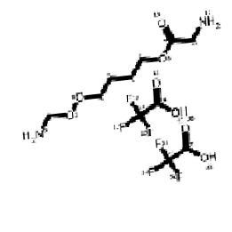 NCOOCCCCOC(=O)CN.O=C(O)C(F)(F)F.O=C(O)C(F)(F)F